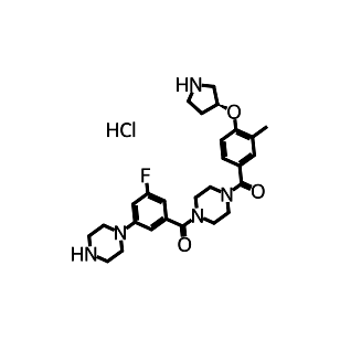 Cc1cc(C(=O)N2CCN(C(=O)c3cc(F)cc(N4CCNCC4)c3)CC2)ccc1O[C@H]1CCNC1.Cl